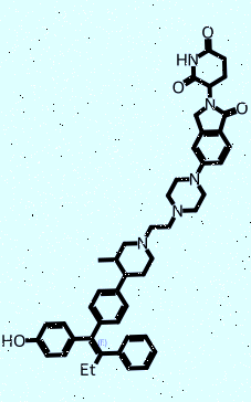 CC/C(=C(\c1ccc(O)cc1)c1ccc(C2CCN(CCN3CCN(c4ccc5c(c4)CN(C4CCC(=O)NC4=O)C5=O)CC3)CC2C)cc1)c1ccccc1